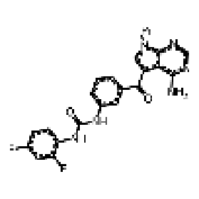 CC(C)n1cc(C(=O)c2cccc(NC(=O)Nc3ccc(F)cc3F)c2)c2c(N)ncnc21